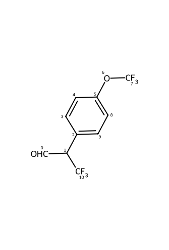 O=CC(c1ccc(OC(F)(F)F)cc1)C(F)(F)F